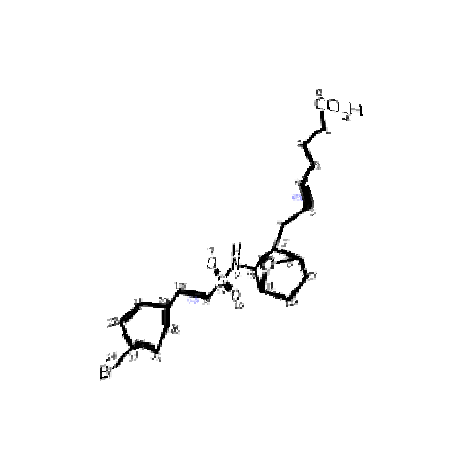 O=C(O)CCC/C=C/CC1C2CCC(O2)C1NS(=O)(=O)/C=C/c1ccc(Br)cc1